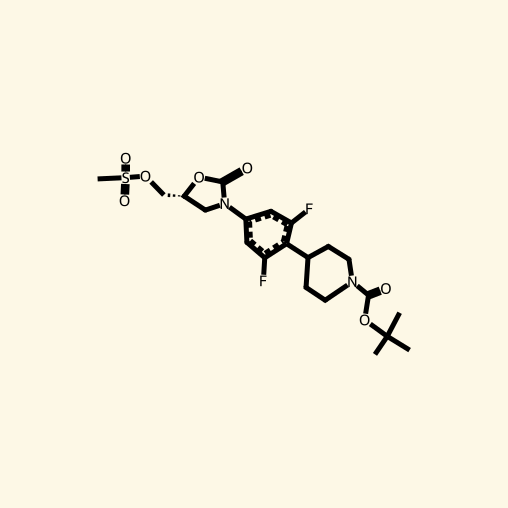 CC(C)(C)OC(=O)N1CCC(c2c(F)cc(N3C[C@H](COS(C)(=O)=O)OC3=O)cc2F)CC1